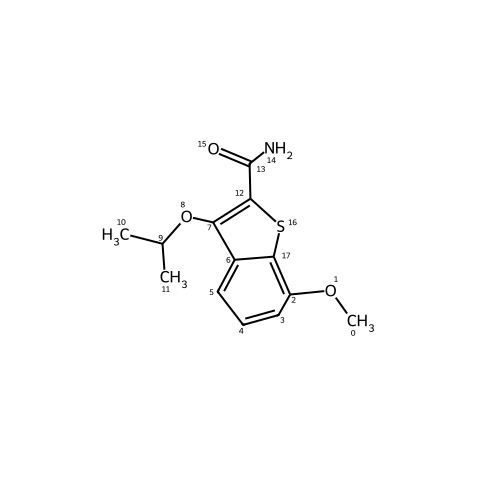 COc1cccc2c(OC(C)C)c(C(N)=O)sc12